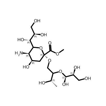 COC(=O)[C@@]1(OCC(O[C@H](O)[C@@H](O)CO)[C@H](C)O)C[C@@H](O)[C@@H](N)C([C@H](O)[C@H](O)CO)O1